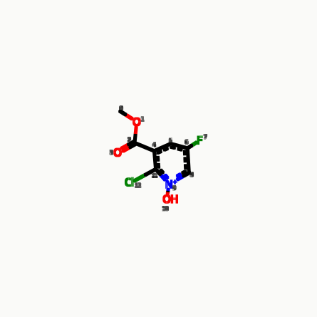 COC(=O)c1cc(F)c[n+](O)c1Cl